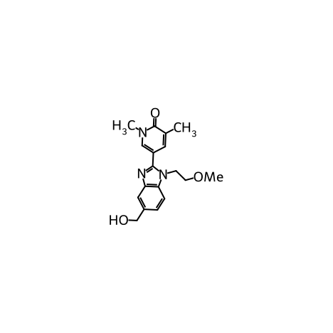 COCCn1c(-c2cc(C)c(=O)n(C)c2)nc2cc(CO)ccc21